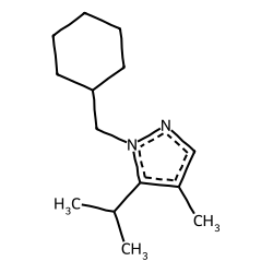 Cc1cnn(CC2CCCCC2)c1C(C)C